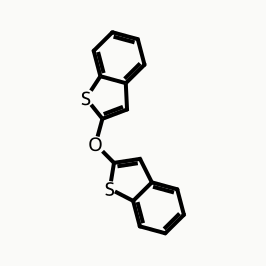 c1ccc2sc(Oc3cc4ccccc4s3)cc2c1